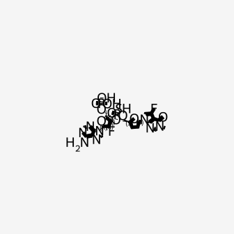 Cn1cnc2c(c(F)cn2[C@H]2CC[C@@H](COP(=O)(S)O[C@H]3[C@@H](F)[C@H](n4cnc5c(N)ncnc54)O[C@@H]3COP(=O)(O)O)O2)c1=O